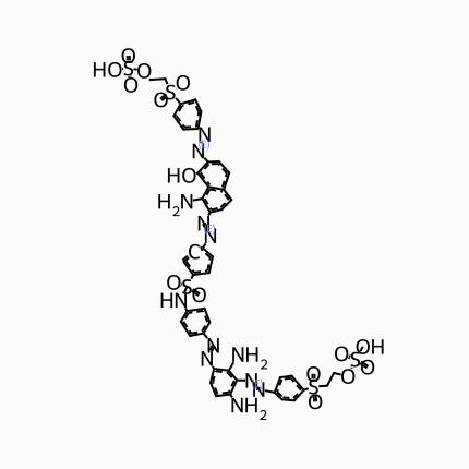 Nc1ccc(N=Nc2ccc(NS(=O)(=O)c3ccc(/N=N/c4ccc5ccc(/N=N/c6ccc(S(=O)(=O)CCOS(=O)(=O)O)cc6)c(O)c5c4N)cc3)cc2)c(N)c1/N=N/c1ccc(S(=O)(=O)CCOS(=O)(=O)O)cc1